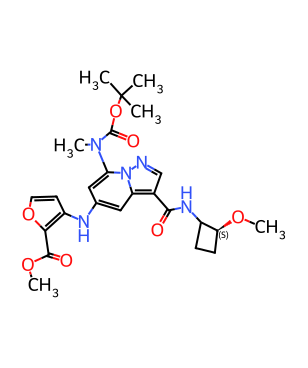 COC(=O)c1occc1Nc1cc(N(C)C(=O)OC(C)(C)C)n2ncc(C(=O)NC3CC[C@@H]3OC)c2c1